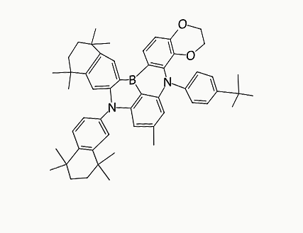 Cc1cc2c3c(c1)N(c1ccc(C(C)(C)C)cc1)c1c(ccc4c1OCCO4)B3c1cc3c(cc1N2c1ccc2c(c1)C(C)(C)CCC2(C)C)C(C)(C)CCC3(C)C